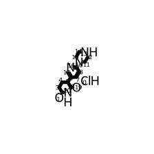 Cl.O=C1CCC(c2ccc(N3CCNCC3)nc2)C(=O)N1